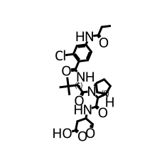 CCC(=O)Nc1ccc(C(=O)N[C@H](C(=O)N2C3CC[C@@H](C3)C2C(=O)NC(C=O)CC(=O)O)C(C)(C)C)c(Cl)c1